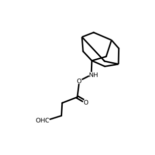 O=CCCC(=O)ONC12CC3CC(CC(C3)C1)C2